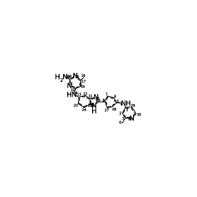 Cc1cc(Nc2ccc(-c3nc4cc(Nc5cc(C)nc(N)n5)ccc4[nH]3)cc2)ccn1